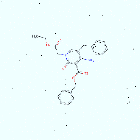 CCOC(=O)Cn1cc(Cc2ccccc2)c(N)c(C(=O)OCc2ccccc2)c1=O